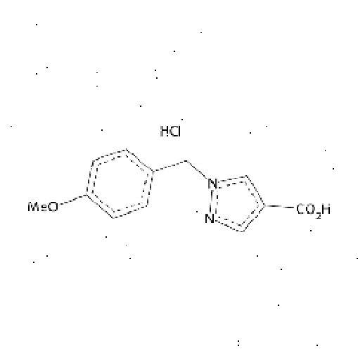 COc1ccc(Cn2cc(C(=O)O)cn2)cc1.Cl